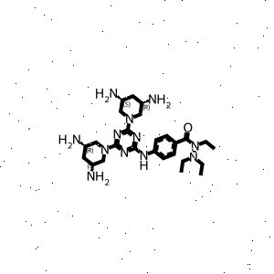 CCN(CC)N(CC)C(=O)c1ccc(Nc2nc(N3C[C@H](N)C[C@H](N)C3)nc(N3C[C@H](N)C[C@H](N)C3)n2)cc1